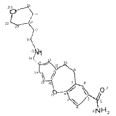 NC(=O)c1ccc2c(c1)CCc1cc(CNCCC3CCOCC3)ccc1O2